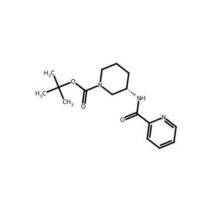 CC(C)(C)OC(=O)N1CCC[C@H](NC(=O)c2ccccn2)C1